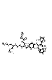 CCCN(CCC)CCCCN(CCC(=O)OC)Cc1ccc(CN(Cc2ncc[nH]2)C(C)c2ncc[nH]2)cc1